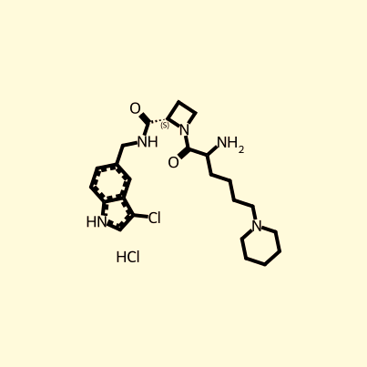 Cl.NC(CCCCN1CCCCC1)C(=O)N1CC[C@H]1C(=O)NCc1ccc2[nH]cc(Cl)c2c1